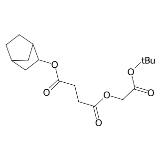 CC(C)(C)OC(=O)COC(=O)CCC(=O)OC1CC2CCC1C2